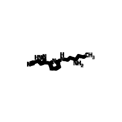 CCCC(N)CCNc1cccc(-c2cc(C#N)[nH]n2)n1